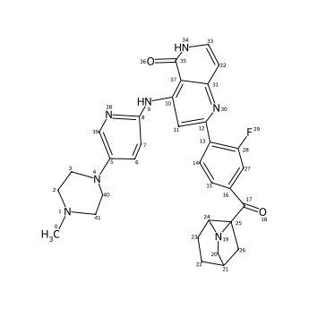 CN1CCN(c2ccc(Nc3cc(-c4ccc(C(=O)N5CC6CCC5CC6)cc4F)nc4cc[nH]c(=O)c34)nc2)CC1